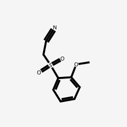 COc1ccccc1S(=O)(=O)CC#N